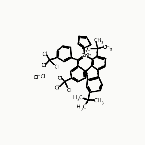 CC(C)(C)c1ccc2c(c1)Cc1c-2ccc(C(C)(C)C)[c]1[Zr+2]([C]1=CC=CC1)=[C](c1cccc(C(Cl)(Cl)Cl)c1)c1cccc(C(Cl)(Cl)Cl)c1.[Cl-].[Cl-]